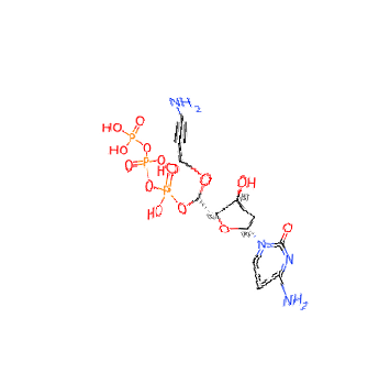 NC#CCOC(OP(=O)(O)OP(=O)(O)OP(=O)(O)O)[C@H]1O[C@@H](n2ccc(N)nc2=O)C[C@@H]1O